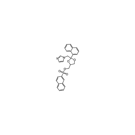 O=S(=O)(OCC1COC(Cn2ccnc2)(c2cccc3ccccc23)O1)c1ccc2ccccc2c1